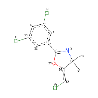 CC1(C)N=C(c2cc(Cl)cc(Cl)c2)OC1=CCl